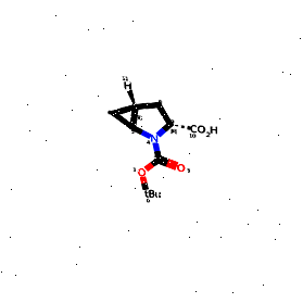 CC(C)(C)OC(=O)N1C2C[C@@H]2C[C@@H]1C(=O)O